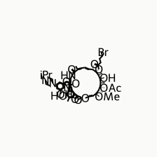 CO[C@H]1/C=C/O[C@@]2(C)Oc3c(C)c(O)c4c(=O)c(c5oc6cc(N7CCN(CC(C)C)CC7)cc(O)c6nc-5c4c3C2=O)NC(=O)/C(C)=C\C=C\[C@H](C)[C@H](OC(=O)CCCBr)[C@@H](C)[C@@H](O)[C@@H](C)[C@H](OC(C)=O)[C@@H]1C